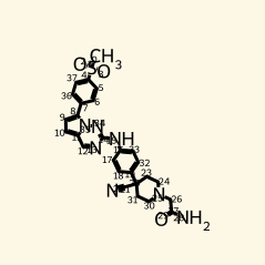 CS(=O)(=O)c1ccc(-c2ccc3cnc(Nc4ccc(C5(C#N)CCN(CC(N)=O)CC5)cc4)nn23)cc1